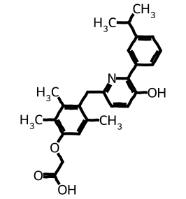 Cc1cc(OCC(=O)O)c(C)c(C)c1Cc1ccc(O)c(-c2cccc(C(C)C)c2)n1